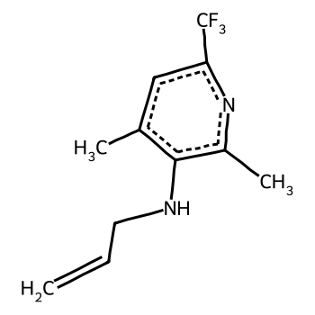 C=CCNc1c(C)cc(C(F)(F)F)nc1C